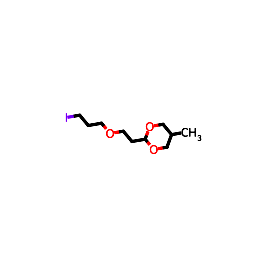 CC1COC(CCOCCCI)OC1